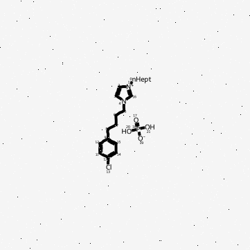 CCCCCCC[n+]1ccn(CCCCc2ccc(Cl)cc2)c1.O=P([O-])(O)O